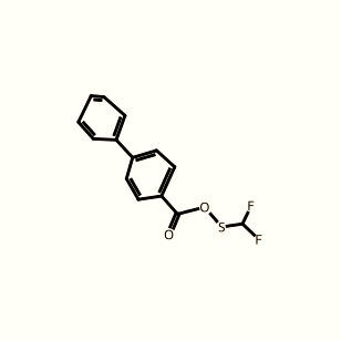 O=C(OSC(F)F)c1ccc(-c2ccccc2)cc1